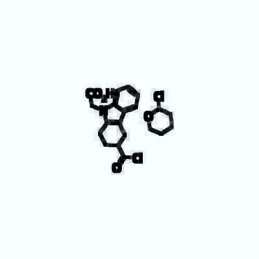 ClC1CCCCO1.O=C(O)Cn1c2c(c3ccccc31)CC(C(=O)Cl)CC2